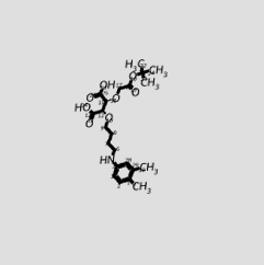 Cc1ccc(NCCCCO[C@@H](C(=O)O)[C@@H](OCC(=O)OC(C)(C)C)C(=O)O)cc1C